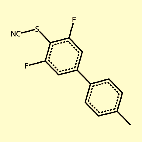 Cc1ccc(-c2cc(F)c(SC#N)c(F)c2)cc1